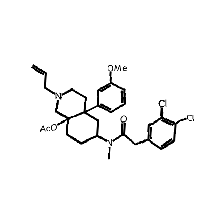 C=CCN1CCC2(c3cccc(OC)c3)CC(N(C)C(=O)Cc3ccc(Cl)c(Cl)c3)CCC2(OC(C)=O)C1